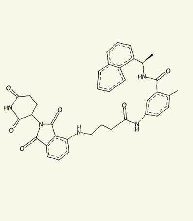 Cc1ccc(NC(=O)CCCNc2cccc3c2C(=O)N(C2CCC(=O)NC2=O)C3=O)cc1C(=O)N[C@H](C)c1cccc2ccccc12